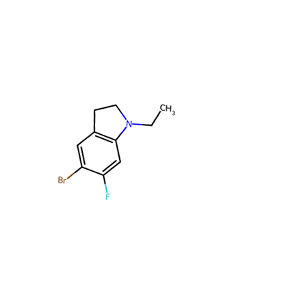 CCN1CCc2cc(Br)c(F)cc21